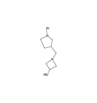 CC(C)N1CCC(CN2CC(C(C)(C)C)C2)C1